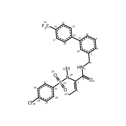 CC=C(C(=O)NCc1cccc(-c2ccc(C(F)(F)F)cc2)c1)N(CC)S(=O)(=O)c1ccc(Cl)cc1